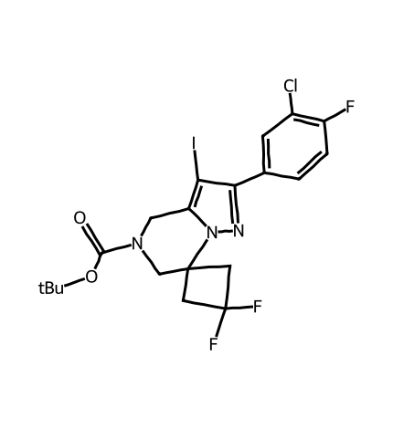 CC(C)(C)OC(=O)N1Cc2c(I)c(-c3ccc(F)c(Cl)c3)nn2C2(C1)CC(F)(F)C2